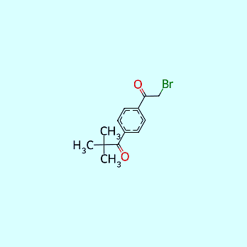 CC(C)(C)C(=O)c1ccc(C(=O)CBr)cc1